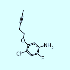 CC#CCCOc1cc(N)c(F)cc1Cl